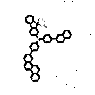 CC1(C)c2ccccc2-c2ccc(N(c3ccc(-c4ccc5ccccc5c4)cc3)c3ccc(-c4ccc5ccc6c7ccccc7ccc6c5c4)cc3)cc21